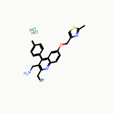 Cc1ccc(-c2c(CN)c(CC(C)C)nc3ccc(OCc4csc(C)n4)cc23)cc1.Cl.Cl